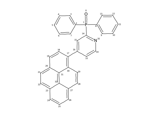 O=P(c1ccccc1)(c1ccccc1)c1cc(-c2ccc3ccc4cccc5ccc2c3c45)ccn1